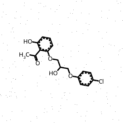 CC(=O)c1c(O)cccc1OCC(O)COc1ccc(Cl)cc1